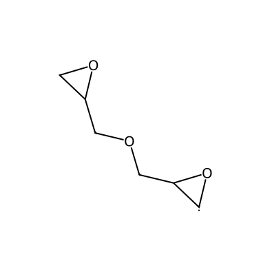 [CH]1OC1COCC1CO1